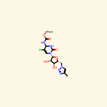 CCCCCOC(=O)NC1NC(=O)N([C@@H]2O[C@H](Cn3cc(C)nn3)[C@@H](O)[C@H]2O)C=C1F